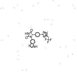 O=C1NC(=O)N(c2ccc3[nH]cnc3c2)C1c1ccc(-c2nnn(CC(F)(F)F)n2)cc1